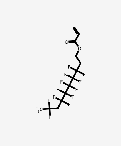 C=CC(=O)OCCC(F)(F)C(F)(F)C(F)(F)C(F)(F)C(F)(F)CC(F)(F)C(F)(F)F